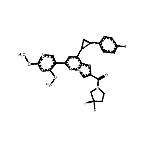 COc1ncc(-c2cc(C3CC3c3ccc(F)cc3)c3nc(C(=O)N4CCC(F)(F)C4)cn3n2)c(OC)n1